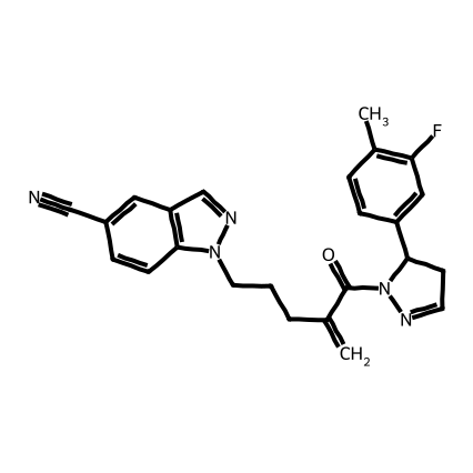 C=C(CCCn1ncc2cc(C#N)ccc21)C(=O)N1N=CCC1c1ccc(C)c(F)c1